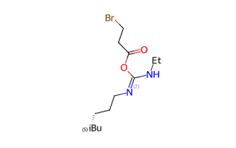 CCN/C(=N/CCC[C@@H](C)CC)OC(=O)CCBr